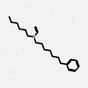 C=CN(CCCCCC)CCCCCCCc1ccccc1